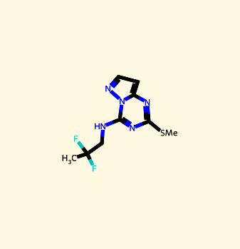 CSc1nc(NCC(C)(F)F)n2nccc2n1